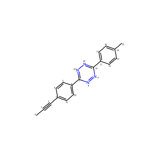 CC#Cc1ccc(-c2nnc(-c3ccc(C)cc3)nn2)cc1